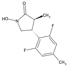 Cc1cc(F)c([C@@H]2CN(O)C(=O)[C@H]2C)c(F)c1